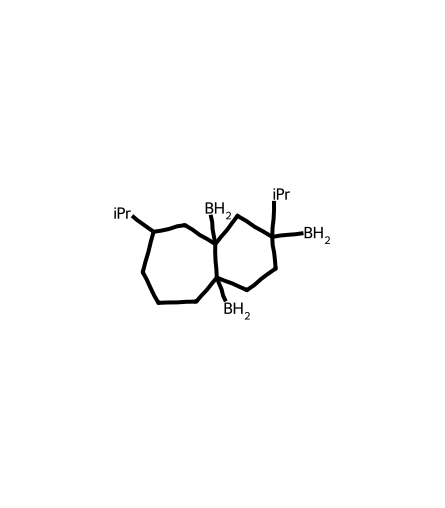 BC1(C(C)C)CCC2(B)CCCC(C(C)C)CC2(B)C1